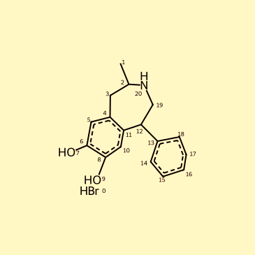 Br.CC1Cc2cc(O)c(O)cc2C(c2ccccc2)CN1